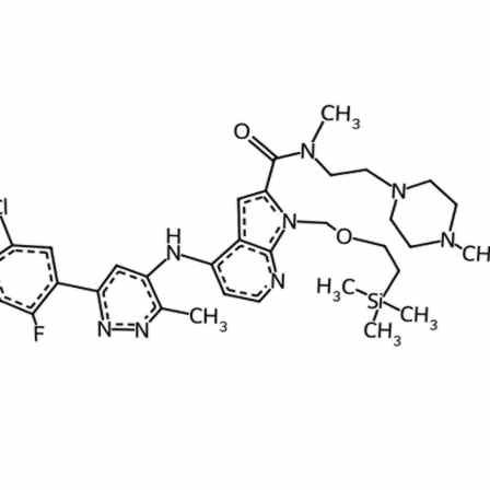 Cc1nnc(-c2cc(Cl)ccc2F)cc1Nc1ccnc2c1cc(C(=O)N(C)CCN1CCN(C)CC1)n2COCC[Si](C)(C)C